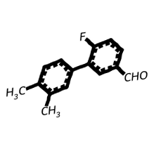 Cc1ccc(-c2cc(C=O)ccc2F)cc1C